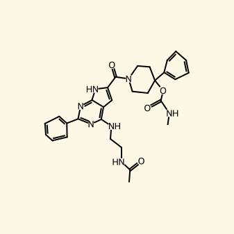 CNC(=O)OC1(c2ccccc2)CCN(C(=O)c2cc3c(NCCNC(C)=O)nc(-c4ccccc4)nc3[nH]2)CC1